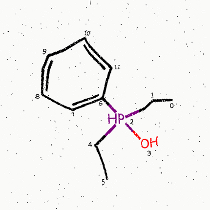 CC[PH](O)(CC)c1ccccc1